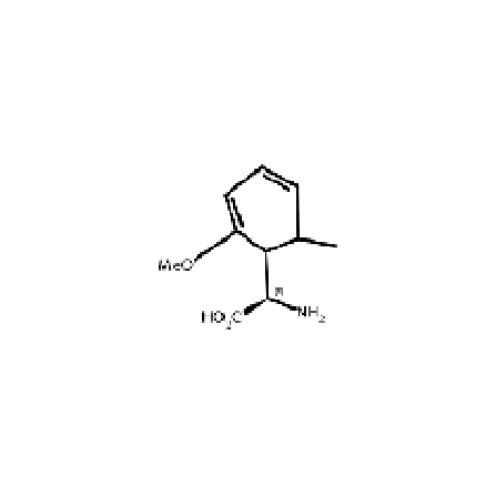 COC1=CC=CC(C)C1[C@@H](N)C(=O)O